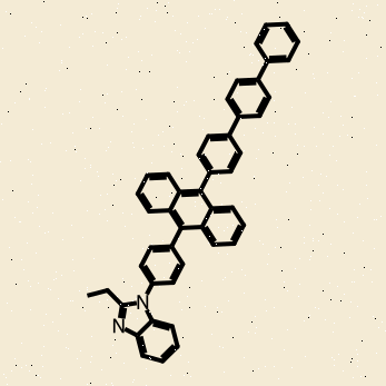 CCc1nc2ccccc2n1-c1ccc(-c2c3ccccc3c(-c3ccc(-c4ccc(-c5ccccc5)cc4)cc3)c3ccccc23)cc1